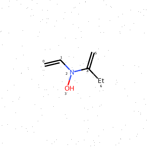 C=CN(O)C(=C)CC